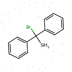 [SiH3]C(Br)(c1ccccc1)c1ccccc1